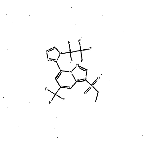 CCS(=O)(=O)c1cnn2c(-c3nccn3C(F)(F)C(F)(F)F)cc(C(F)(F)F)cc12